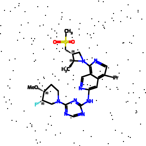 CO[C@@H]1CCN(c2ncnc(Nc3cc4c(C(C)C)cnc(N5C[C@@H](CS(C)(=O)=O)[C@@H]5C)c4cn3)n2)C[C@@H]1F